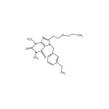 CCCOCCc1nc2c(c(=O)n(C)c(=O)n2C)n1Cc1cccc(CC)c1